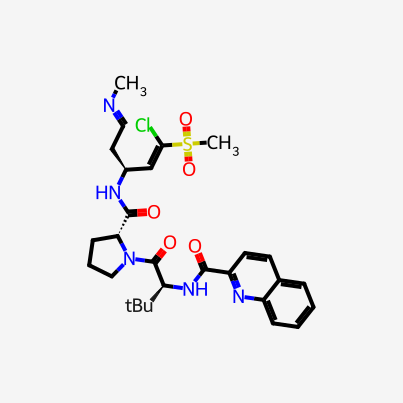 C/N=C/C[C@@H](/C=C(\Cl)S(C)(=O)=O)NC(=O)[C@H]1CCCN1C(=O)[C@@H](NC(=O)c1ccc2ccccc2n1)C(C)(C)C